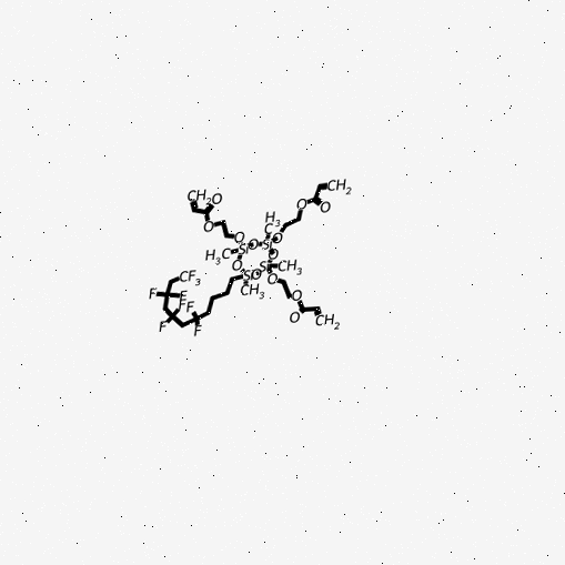 C=CC(=O)OCCO[Si]1(C)O[Si](C)(CCCCC(F)(F)CC(F)(F)CC(F)(F)CC(F)(F)F)O[Si](C)(OCCOC(=O)C=C)O[Si](C)(OCCOC(=O)C=C)O1